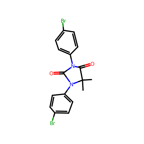 CC1(C)C(=O)N(c2ccc(Br)cc2)C(=O)N1c1ccc(Br)cc1